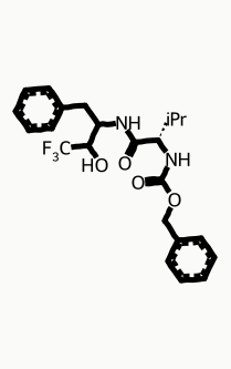 CC(C)[C@H](NC(=O)OCc1ccccc1)C(=O)NC(Cc1ccccc1)C(O)C(F)(F)F